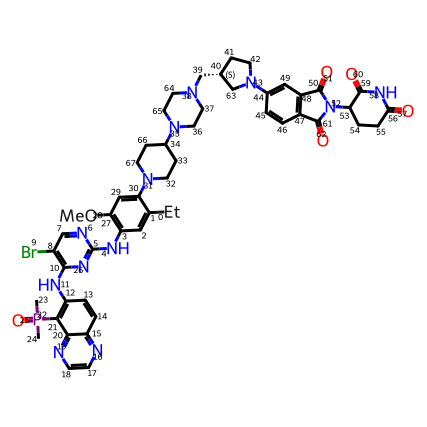 CCc1cc(Nc2ncc(Br)c(Nc3ccc4nccnc4c3P(C)(C)=O)n2)c(OC)cc1N1CCC(N2CCN(C[C@@H]3CCN(c4ccc5c(c4)C(=O)N(C4CCC(=O)NC4=O)C5=O)C3)CC2)CC1